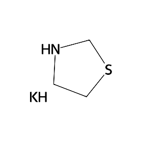 C1CSCN1.[KH]